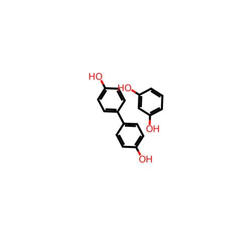 Oc1ccc(-c2ccc(O)cc2)cc1.Oc1cccc(O)c1